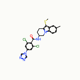 CSc1c2n(c3ccc(C)cc13)CC(NC(=O)c1c(Cl)cc(-n3cnnc3)cc1Cl)CC2